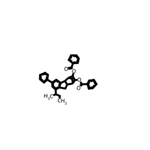 CCC(C)c1cc(-c2ccccc2)cc2c1CC1C3CC(C(OC(=O)c4ccccc4)C3OC(=O)c3ccccc3)C21